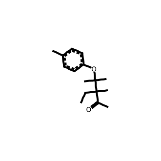 CCC(C)(C(C)=O)C(C)(C)Oc1ccc(C)cc1